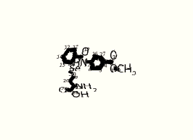 COC(=O)c1ccc(NC(=O)c2ccccc2[Se]SCCC(N)C(=O)O)cc1